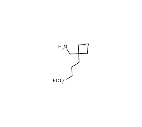 CCOC(=O)CCCC1(CN)COC1